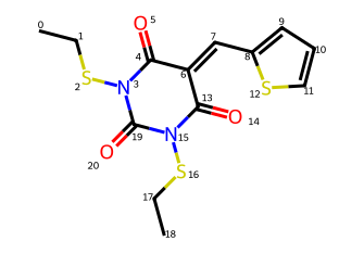 CCSN1C(=O)C(=Cc2cccs2)C(=O)N(SCC)C1=O